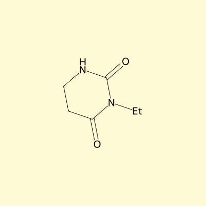 CCN1C(=O)CCNC1=O